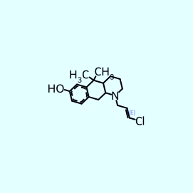 CC1(C)c2cc(O)ccc2CC2C1CCCN2C/C=C/Cl